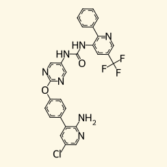 Nc1ncc(Cl)cc1-c1ccc(Oc2ncc(NC(=O)Nc3cc(C(F)(F)F)cnc3-c3ccccc3)cn2)cc1